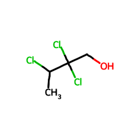 CC(Cl)C(Cl)(Cl)CO